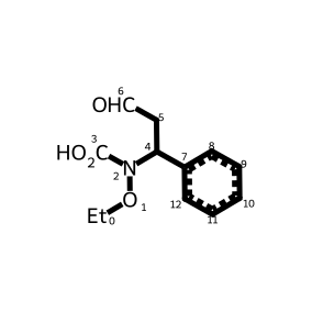 CCON(C(=O)O)C(CC=O)c1ccccc1